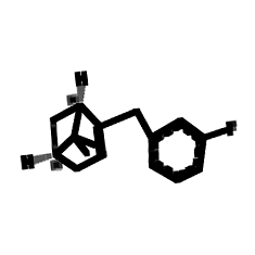 CC1(C)[C@H]2CC=C(Cc3cccc(F)c3)[C@@H]1C2